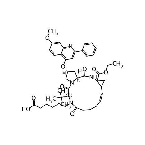 CCOC(=O)C12CC1C=CCCCC(=O)N(CCCCCC(=O)O)[C@@H](C(C)(C)C)C(=O)N1C[C@H](Oc3cc(-c4ccccc4)nc4cc(OC)ccc34)C[C@H]1C(=O)N2